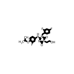 CC(C)Oc1ccc(Nc2nc(=O)n(CCO)c(=O)n2Cc2ccc(F)cc2F)cc1F